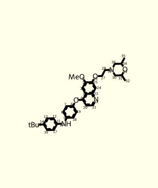 COc1cc2c(Oc3ccc(Nc4ccc(C(C)(C)C)cc4)cc3)ccnc2cc1OCCN1CC(C)OC(C)C1